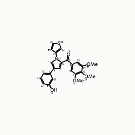 COc1cc(C(=O)c2cc(-c3cccc(O)c3)cn2-c2ccsc2)cc(OC)c1OC